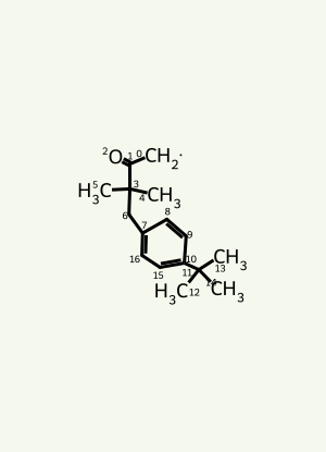 [CH2]C(=O)C(C)(C)Cc1ccc(C(C)(C)C)cc1